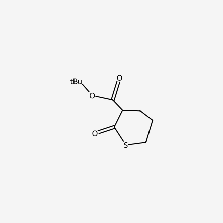 CC(C)(C)OC(=O)C1CCCSC1=O